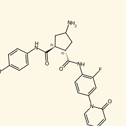 NC1C[C@H](C(=O)Nc2ccc(Cl)cc2)[C@@H](C(=O)Nc2ccc(-n3ccccc3=O)cc2F)C1